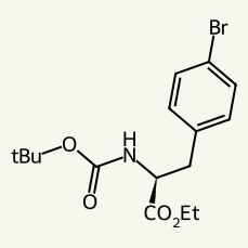 CCOC(=O)[C@H](Cc1ccc(Br)cc1)NC(=O)OC(C)(C)C